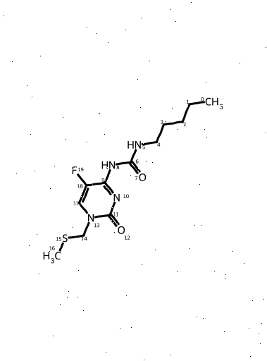 CCCCCNC(=O)Nc1nc(=O)n(CSC)cc1F